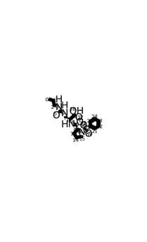 CCCNC(=O)NC[C@H](NC(=O)[C@@H]1CCCN1S(=O)(=O)c1ccccc1)C(=O)O